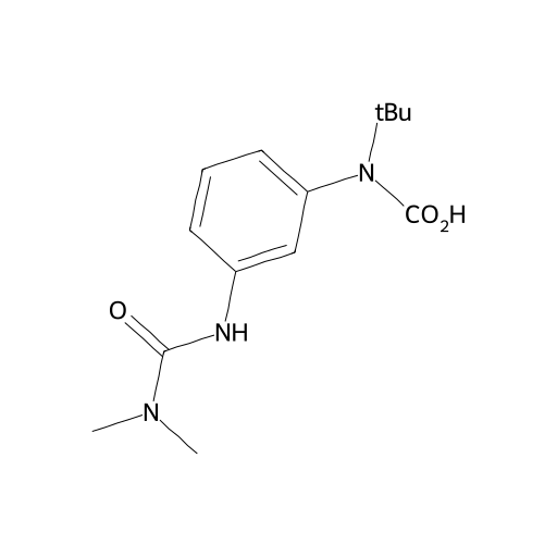 CN(C)C(=O)Nc1cccc(N(C(=O)O)C(C)(C)C)c1